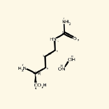 NC(=O)NCCC[C@H](N)C(=O)O.O=NO